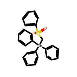 O=S(=O)([CH2][Sn]([c]1ccccc1)([c]1ccccc1)[c]1ccccc1)c1ccccc1